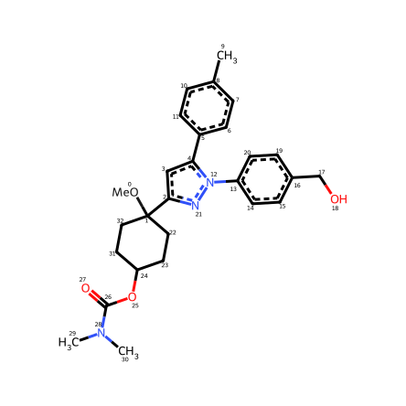 COC1(c2cc(-c3ccc(C)cc3)n(-c3ccc(CO)cc3)n2)CCC(OC(=O)N(C)C)CC1